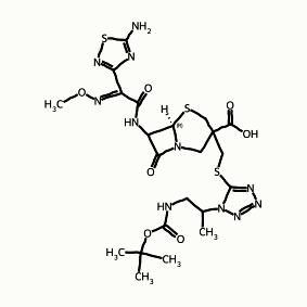 CON=C(C(=O)NC1C(=O)N2CC(CSc3nnnn3C(C)CNC(=O)OC(C)(C)C)(C(=O)O)CS[C@H]12)c1nsc(N)n1